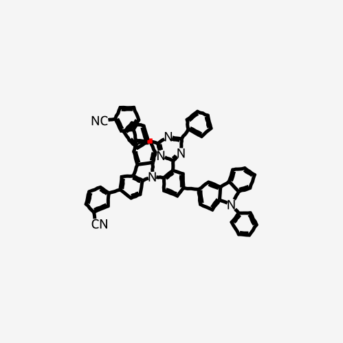 N#Cc1cccc(-c2ccc3c(c2)c2cc(-c4cccc(C#N)c4)ccc2n3-c2ccc(-c3ccc4c(c3)c3ccccc3n4-c3ccccc3)cc2-c2nc(-c3ccccc3)nc(-c3ccccc3)n2)c1